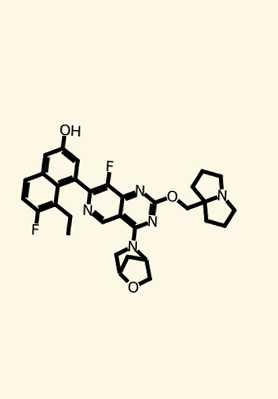 CCc1c(F)ccc2cc(O)cc(-c3ncc4c(N5CC6CC5CO6)nc(OCC56CCCN5CCC6)nc4c3F)c12